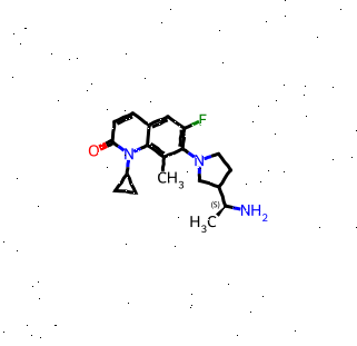 Cc1c(N2CCC([C@H](C)N)C2)c(F)cc2ccc(=O)n(C3CC3)c12